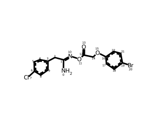 N/C(Cc1ccc(Cl)cc1)=N\OC(=O)COc1ccc(Br)cc1